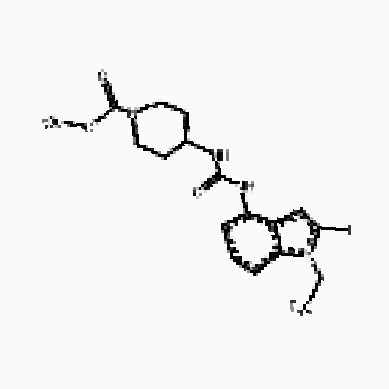 CC(C)(C)OC(=O)N1CCC(NC(=O)Nc2cccc3c2cc(I)n3CC(F)(F)F)CC1